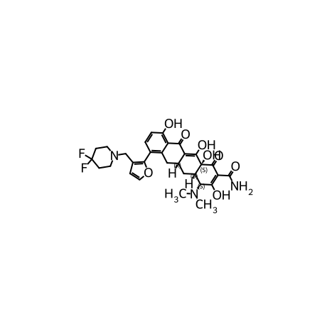 CN(C)[C@@H]1C(O)=C(C(N)=O)C(=O)[C@@]2(O)C(O)=C3C(=O)c4c(O)ccc(-c5occc5CN5CCC(F)(F)CC5)c4C[C@H]3C[C@@H]12